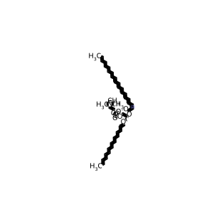 CCCCCCCCCC=CC=CC=CC=CC=C/C=C\C(=O)O[C@H](COC=CCCCCCCCCCCCCCC)COP(=O)([O-])OCC[N+](C)(C)C